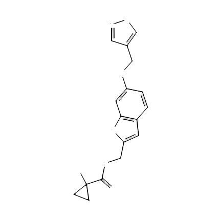 CC1(C(=O)NCc2cc3ccc(OCc4cnsc4)cc3[nH]2)CC1